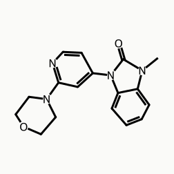 Cn1c(=O)n(-c2ccnc(N3CCOCC3)c2)c2ccccc21